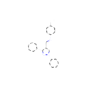 Cc1ccc(/N=C/c2cn(-c3ccccc3)nc2-c2ccccc2)cc1